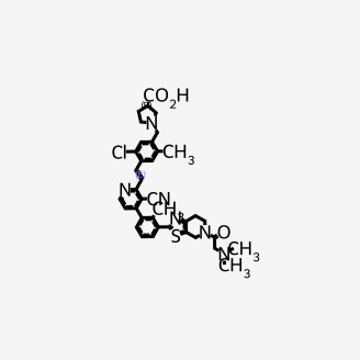 Cc1cc(/C=C/c2nccc(-c3cccc(-c4nc5c(s4)CN(C(=O)CN(C)C)CC5)c3C)c2C#N)c(Cl)cc1CN1CC[C@@H](C(=O)O)C1